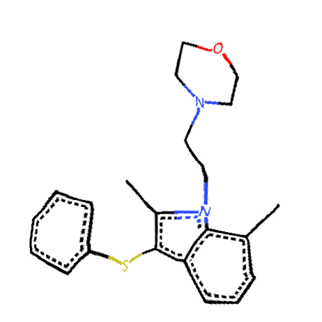 Cc1cccc2c(Sc3ccccc3)c(C)n(CCN3CCOCC3)c12